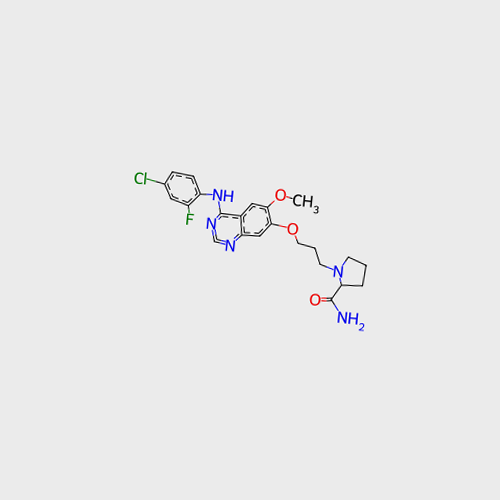 COc1cc2c(Nc3ccc(Cl)cc3F)ncnc2cc1OCCCN1CCCC1C(N)=O